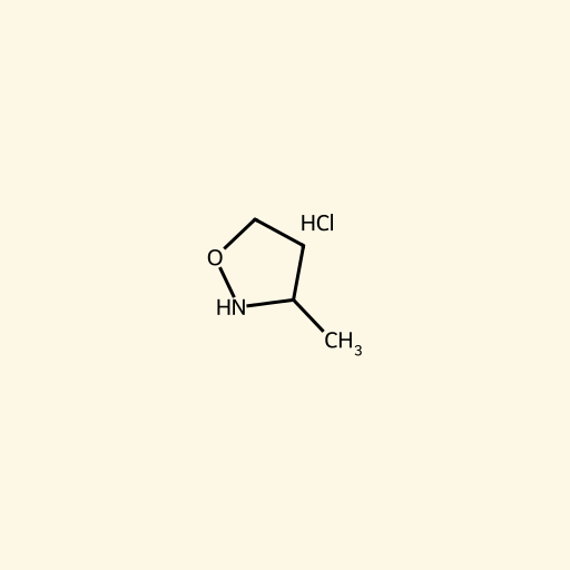 CC1CCON1.Cl